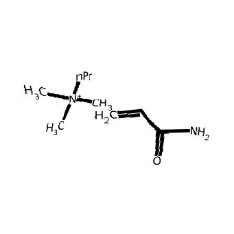 C=CC(N)=O.CCC[N+](C)(C)C